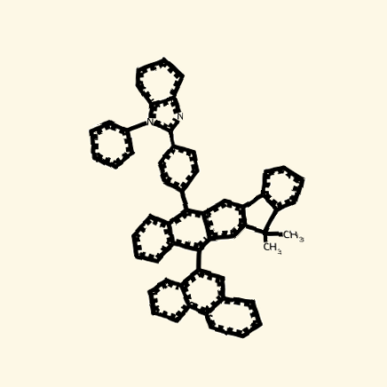 CC1(C)c2ccccc2-c2cc3c(-c4ccc(-c5nc6ccccc6n5-c5ccccc5)cc4)c4ccccc4c(-c4cc5ccccc5c5ccccc45)c3cc21